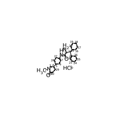 Cl.Cn1cc(-c2ccc(NC(=O)C(N)C(c3ccccc3)c3ccccc3)cc2)ccc1=O